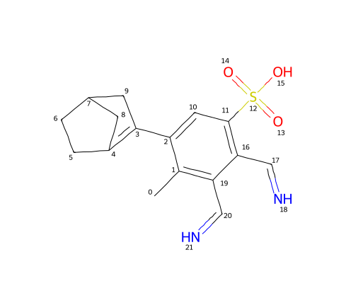 Cc1c(C2=C3CCC(C3)C2)cc(S(=O)(=O)O)c(C=N)c1C=N